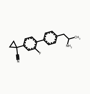 CC(N)Cc1ccc(-c2ccc(C3(C#N)CC3)cc2F)cc1